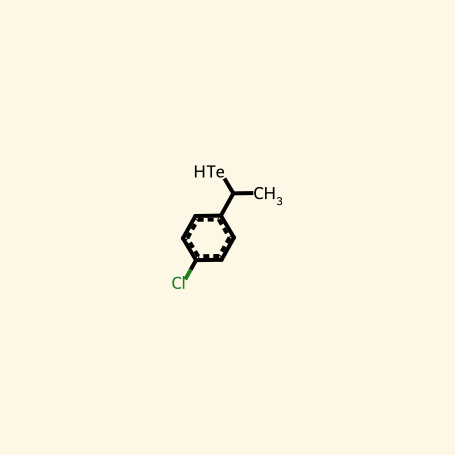 CC([TeH])c1ccc(Cl)cc1